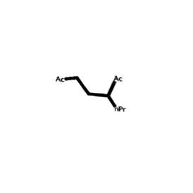 CCCC(CCC(C)=O)C(C)=O